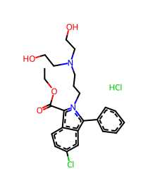 CCOC(=O)c1c2ccc(Cl)cc2c(-c2ccccc2)n1CCCN(CCO)CCO.Cl